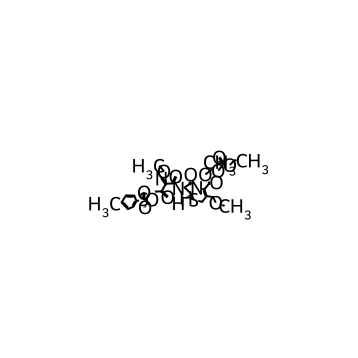 CCOC(=O)OC(C)OC(=O)C1=C(COC)CS[C@@H]2C(NC(=O)/C(=N\OC)C(=O)COS(=O)(=O)c3ccc(C)cc3)C(=O)N12